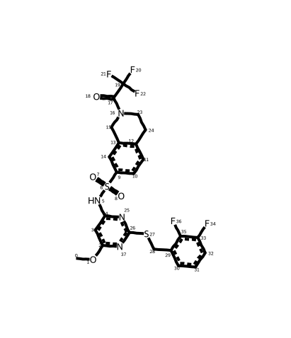 COc1cc(NS(=O)(=O)c2ccc3c(c2)CN(C(=O)C(F)(F)F)CC3)nc(SCc2cccc(F)c2F)n1